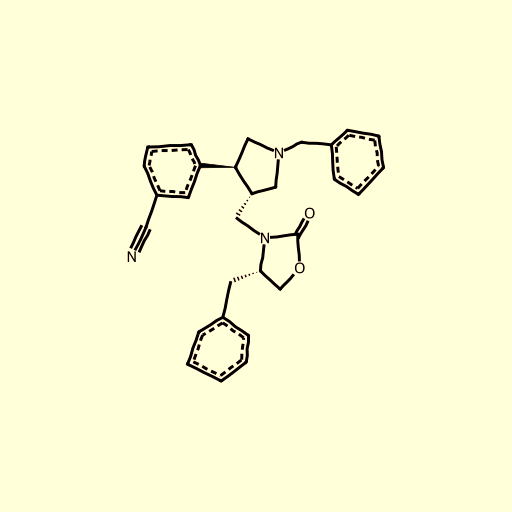 N#Cc1cccc([C@H]2CN(Cc3ccccc3)C[C@@H]2CN2C(=O)OC[C@@H]2Cc2ccccc2)c1